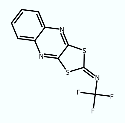 FC(F)(F)N=c1sc2nc3ccccc3nc2s1